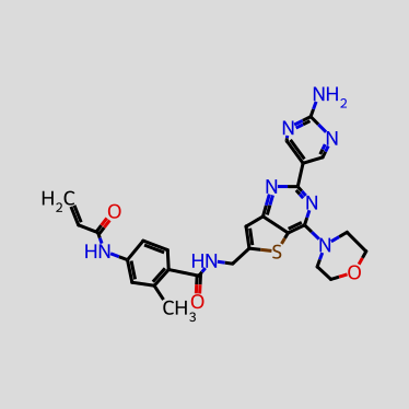 C=CC(=O)Nc1ccc(C(=O)NCc2cc3nc(-c4cnc(N)nc4)nc(N4CCOCC4)c3s2)c(C)c1